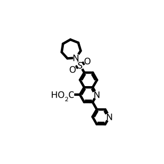 O=C(O)c1cc(-c2cccnc2)nc2ccc(S(=O)(=O)N3CCCCCC3)cc12